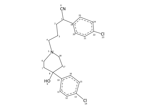 N#CC(CCCN1CCC(O)(c2ccc(Cl)cc2)CC1)c1ccc(Cl)cc1